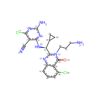 N#Cc1c(Cl)nc(N)nc1N[C@H](c1nc2cccc(Cl)c2c(=O)n1CCCN)C1CC1